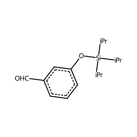 CC(C)[Si](Oc1cccc(C=O)c1)(C(C)C)C(C)C